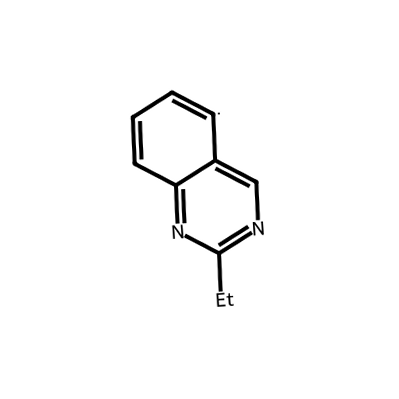 CCc1ncc2[c]cccc2n1